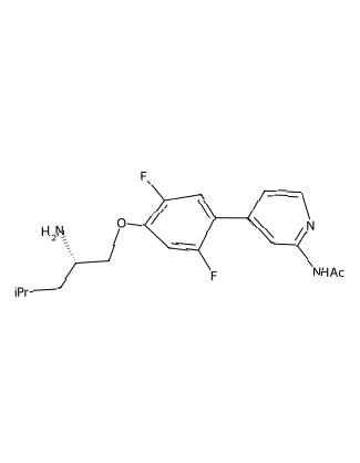 CC(=O)Nc1cc(-c2cc(F)c(OC[C@@H](N)CC(C)C)cc2F)ccn1